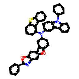 c1ccc(-c2nc3cc4oc5ccc(N(c6ccc7c(c6)c6ccccc6n7-c6ccccc6)c6cccc7sc8ccccc8c67)cc5c4cc3o2)cc1